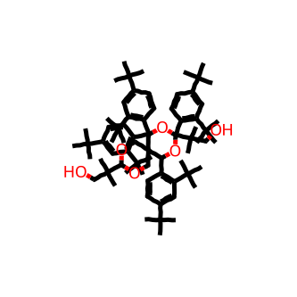 CC(C)(C)c1ccc(C2OC(c3ccc(C(C)(C)C)cc3C(C)(C)C)(C(C)(C)CO)OC(c3ccc(C(C)(C)C)cc3C(C)(C)C)(c3ccc(C(C)(C)C)cc3C(C)(C)C)C23COC(C(C)(C)CO)OC3)c(C(C)(C)C)c1